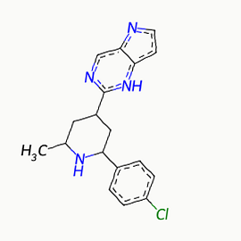 CC1CC(c2ncc3nccc-3[nH]2)CC(c2ccc(Cl)cc2)N1